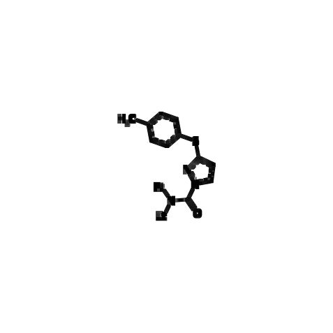 CCN(CC)C(=O)n1ccc(Sc2ccc(C)cc2)n1